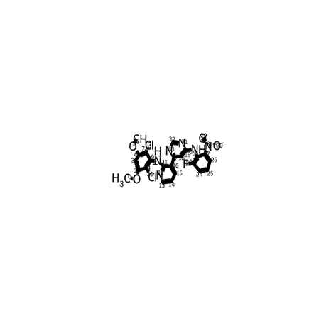 COc1cc(OC)c(Cl)c(Nc2ncccc2-c2cc(Nc3c(F)cccc3[N+](=O)[O-])ncn2)c1Cl